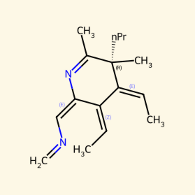 C=N/C=C1/N=C(C)[C@](C)(CCC)C(=C/C)/C1=C/C